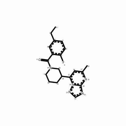 CCc1ccc(F)c(C(=O)N2CCCC(c3cc(C)nc4ncnn34)C2)c1